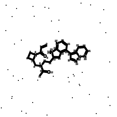 C=CC(=O)N1CCC1CN(CCc1cc2c(-c3cnn4ncccc34)ccnc2[nH]1)C(C)=O